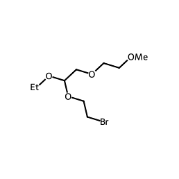 CCOC(COCCOC)OCCBr